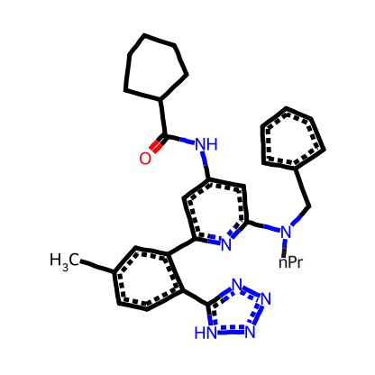 CCCN(Cc1ccccc1)c1cc(NC(=O)C2CCCCC2)cc(-c2cc(C)ccc2-c2nnn[nH]2)n1